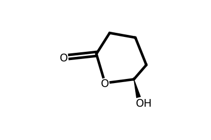 O=C1CCC[C@@H](O)O1